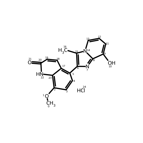 COc1ccc(-c2nc3c(O)cccn3c2C)c2ccc(=O)[nH]c12.Cl